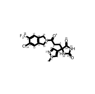 Cn1cc(C2(CCC(=O)N3Cc4cc(Cl)c(C(F)(F)F)cc4C3)NC(=O)NC2=O)cn1